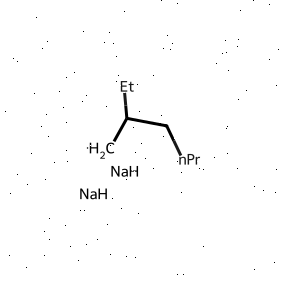 [CH2]C(CC)CCCC.[NaH].[NaH]